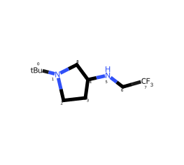 CC(C)(C)N1CCC(NCC(F)(F)F)C1